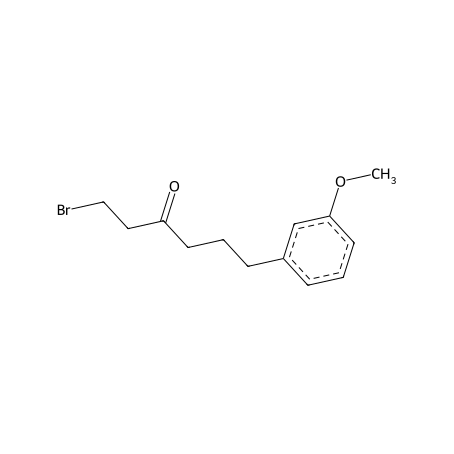 COc1cccc(CCCC(=O)CCBr)c1